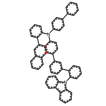 c1ccc(-c2ccc(N(c3ccc(-c4cccc(-c5ccccc5-n5c6ccccc6c6ccccc65)c4)cc3)c3ccccc3-c3ccc4ccccc4c3)cc2)cc1